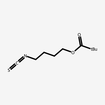 CC(C)(C)C(=O)OCCCCN=C=S